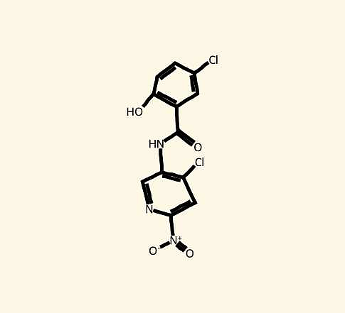 O=C(Nc1cnc([N+](=O)[O-])cc1Cl)c1cc(Cl)ccc1O